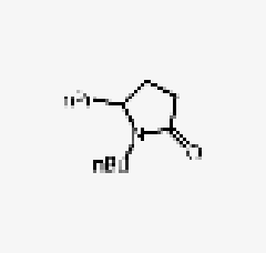 CCCCN1C(=O)CCC1CCC